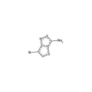 Nc1snc2c(Br)csc12